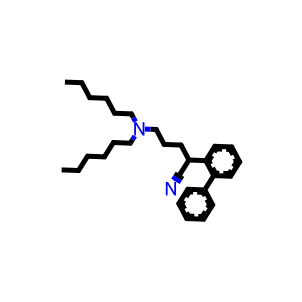 CCCCCCN(CCCCCC)CCCC(C#N)c1ccccc1-c1ccccc1